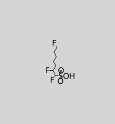 O=S(=O)(O)C(F)C(F)CCCCCF